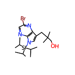 CC(C)[Si](C(C)C)(C(C)C)n1cc(CC(C)(C)CO)c2nc(Br)cnc21